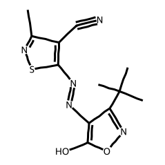 Cc1nsc(N=Nc2c(C(C)(C)C)noc2O)c1C#N